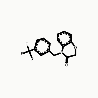 O=C1[CH]Oc2ccccc2N1Cc1cccc(C(F)(F)F)c1